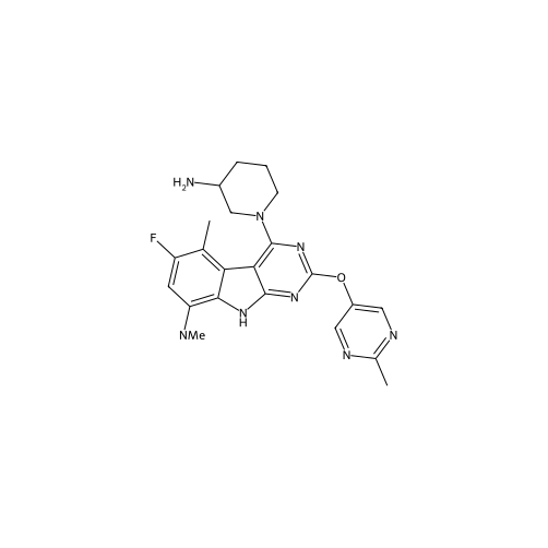 CNc1cc(F)c(C)c2c1[nH]c1nc(Oc3cnc(C)nc3)nc(N3CCCC(N)C3)c12